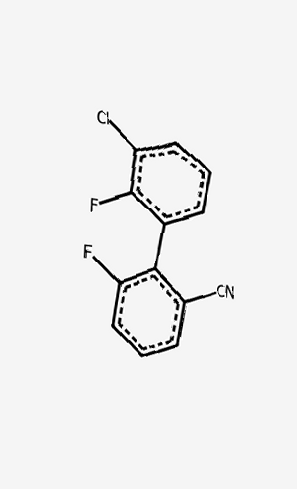 N#Cc1cccc(F)c1-c1cccc(Cl)c1F